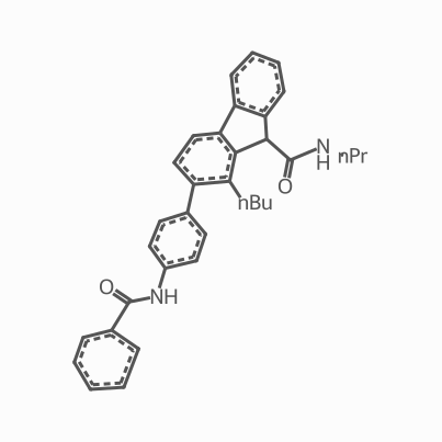 CCCCc1c(-c2ccc(NC(=O)c3ccccc3)cc2)ccc2c1C(C(=O)NCCC)c1ccccc1-2